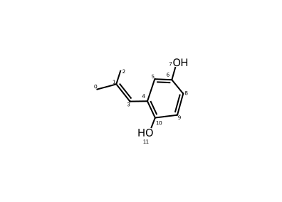 CC(C)=Cc1cc(O)ccc1O